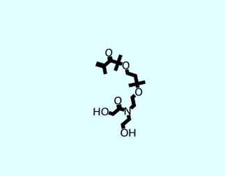 C=C(C)C(=O)C(C)(C)OCCC(C)(C)OCCN(CCO)C(=O)CO